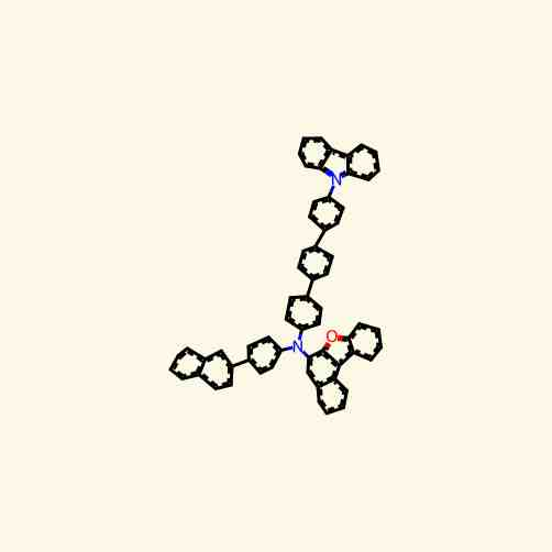 c1ccc2cc(-c3ccc(N(c4ccc(-c5ccc(-c6ccc(-n7c8ccccc8c8ccccc87)cc6)cc5)cc4)c4cc5ccccc5c5c4oc4ccccc45)cc3)ccc2c1